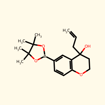 C=CCC1(O)CCOc2ccc(B3OC(C)(C)C(C)(C)O3)cc21